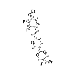 CCCC1(F)COC(C2CCC(/C=C/c3ccc(OCC)c(F)c3F)OC2)OC1